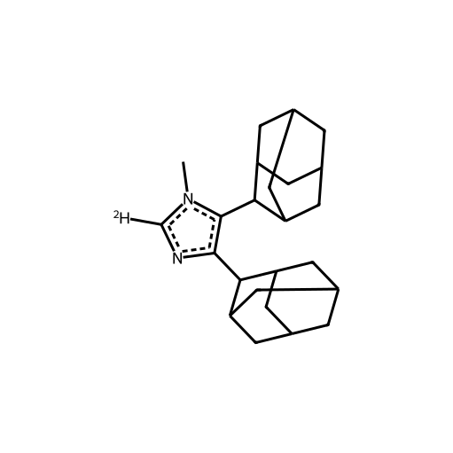 [2H]c1nc(C2C3CC4CC(C3)CC2C4)c(C2C3CC4CC(C3)CC2C4)n1C